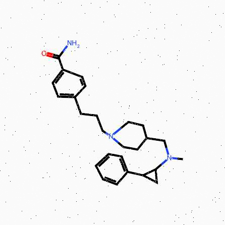 CN(CC1CCN(CCCc2ccc(C(N)=O)cc2)CC1)C1CC1c1ccccc1